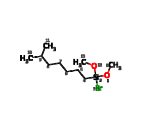 CO[Si](Br)(CCCCCC(C)C)OC